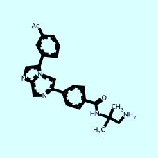 CC(=O)c1cccc(-c2cnc3cnc(-c4ccc(C(=O)NC(C)(C)CN)cc4)cn23)c1